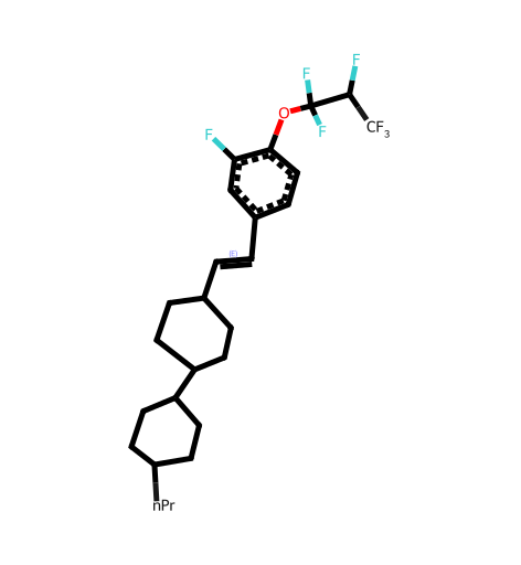 CCCC1CCC(C2CCC(/C=C/c3ccc(OC(F)(F)C(F)C(F)(F)F)c(F)c3)CC2)CC1